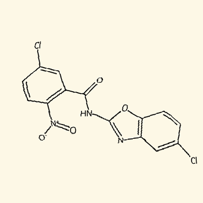 O=C(Nc1nc2cc(Cl)ccc2o1)c1cc(Cl)ccc1[N+](=O)[O-]